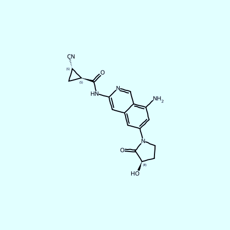 N#C[C@H]1C[C@@H]1C(=O)Nc1cc2cc(N3CC[C@@H](O)C3=O)cc(N)c2cn1